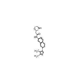 Cc1ncc(-c2ccc3cnc(NC(=O)CC4CNCCO4)cc3c2)n1C